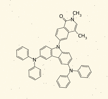 Cc1cn(C)c(=O)c2ccc(-n3c4ccc(N(c5ccccc5)c5ccccc5)cc4c4cc(N(c5ccccc5)c5ccccc5)ccc43)cc12